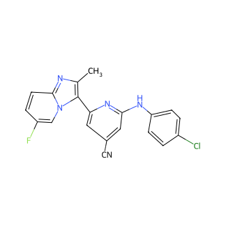 Cc1nc2ccc(F)cn2c1-c1cc(C#N)cc(Nc2ccc(Cl)cc2)n1